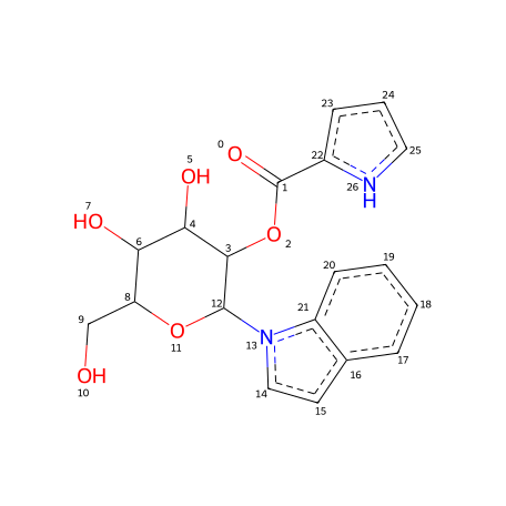 O=C(OC1C(O)C(O)C(CO)OC1n1ccc2ccccc21)c1ccc[nH]1